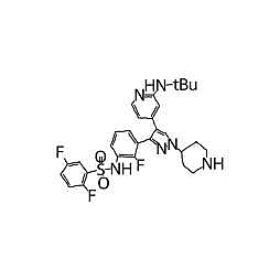 CC(C)(C)Nc1cc(-c2cn(C3CCNCC3)nc2-c2cccc(NS(=O)(=O)c3cc(F)ccc3F)c2F)ccn1